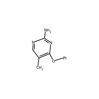 Cc1cnc(N)nc1OC(C)C